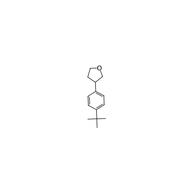 CC(C)(C)c1ccc(C2CCOC2)cc1